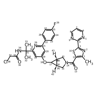 Cc1nc(-c2ncccn2)sc1C(=O)N1C[C@@H]2C(Oc3cc(-c4ccc(F)cc4)nc(C(C)(C)NC(=O)CCl)c3)[C@@H]2C1